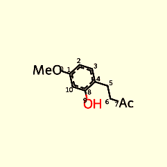 COc1ccc(CCC(C)=O)c(O)c1